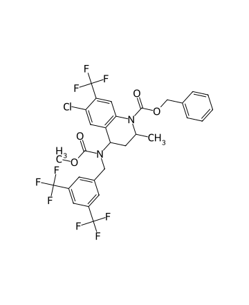 COC(=O)N(Cc1cc(C(F)(F)F)cc(C(F)(F)F)c1)C1CC(C)N(C(=O)OCc2ccccc2)c2cc(C(F)(F)F)c(Cl)cc21